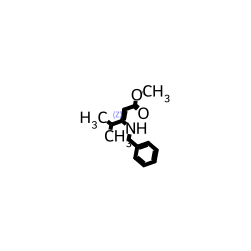 COC(=O)/C=C(\NCc1ccccc1)C(C)C